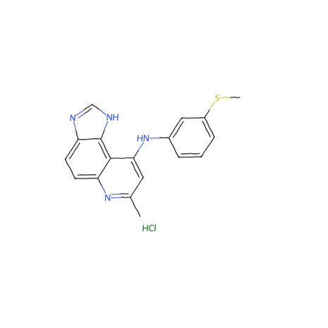 CSc1cccc(Nc2cc(C)nc3ccc4nc[nH]c4c23)c1.Cl